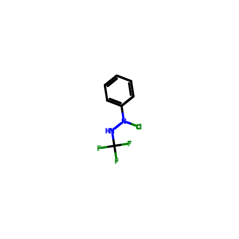 FC(F)(F)NN(Cl)c1ccccc1